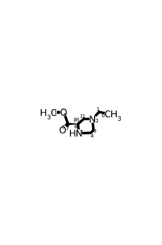 CCN1CCN[C@@H](C(=O)OC)C1